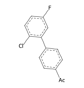 CC(=O)c1ccc(-c2cc(F)ccc2Cl)cc1